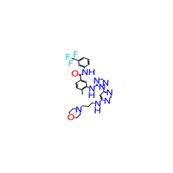 Cc1ccc(C(=O)Nc2cccc(C(F)(F)F)c2)cc1Nc1ncnn1-c1cc(NCCCN2CCOCC2)ncn1